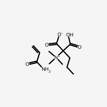 C=CC(N)=O.CCCC(C(=O)[O-])(C(=O)O)[N+](C)(C)C